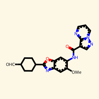 COc1cc2nc(C3CCC(C=O)CC3)oc2cc1NC(=O)c1cnn2cccnc12